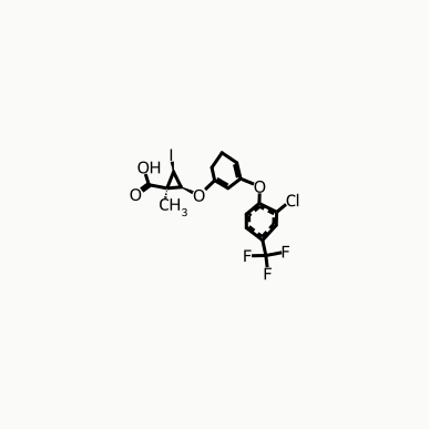 C[C@@]1(C(=O)O)[C@H](OC2=CC(Oc3ccc(C(F)(F)F)cc3Cl)=CCC2)[C@@H]1I